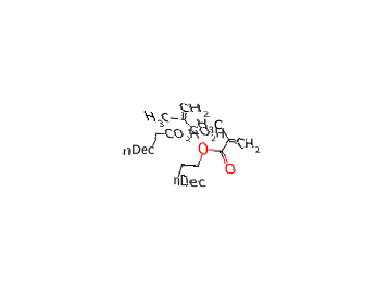 C=C(C)C(=O)O.C=C(C)C(=O)OCCCCCCCCCCCC.CCCCCCCCCCCC(=O)O